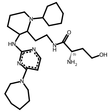 N[C@@H](CCO)C(=O)NCCC1C(Nc2nccc(N3CCCCCC3)n2)CCCN1C1CCCCC1